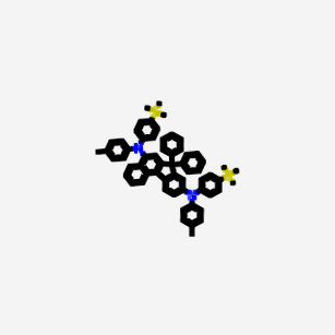 Cc1ccc(N(c2ccc(S(C)(C)C)cc2)c2ccc3c(c2)C(c2ccccc2)(c2ccccc2)c2cc(N(c4ccc(C)cc4)c4ccc(S(C)(C)C)cc4)c4ccccc4c2-3)cc1